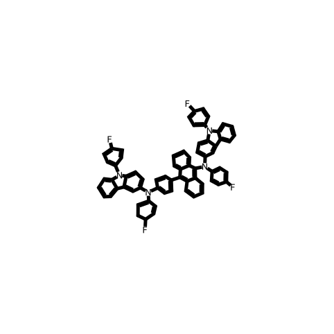 Fc1ccc(N(c2ccc3c(c2)c2ccccc2n3-c2ccc(F)cc2)c2c3ccccc3c(-c3ccc(N(C4=CCC(F)C=C4)c4ccc5c(c4)c4ccccc4n5-c4ccc(F)cc4)cc3)c3ccccc23)cc1